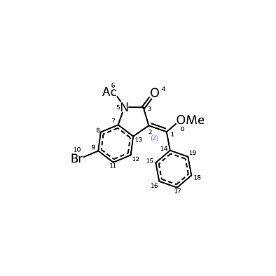 CO/C(=C1\C(=O)N(C(C)=O)c2cc(Br)ccc21)c1ccccc1